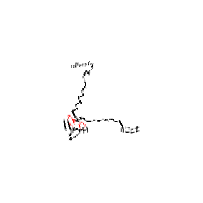 CCCCC/C=C\C/C=C\CCCCCCCCC1(CCCCCCCC/C=C\CCCCCCCC)O[C@H]2C[C@@H](C)C[C@H]2O1